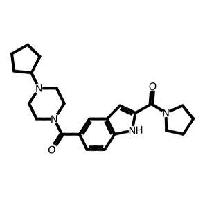 O=C(c1ccc2[nH]c(C(=O)N3CCCC3)cc2c1)N1CCN(C2CCCC2)CC1